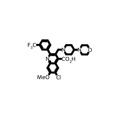 COc1cc2nc(-c3cccc(C(F)(F)F)c3)c(CN3CCC(N4CCOCC4)CC3)c(C(=O)O)c2cc1Cl